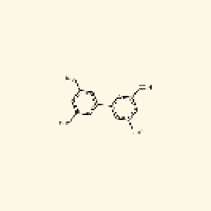 O=Cc1cc(C(=O)O)cc(-c2cc(C=O)cc(C(=O)O)c2)c1